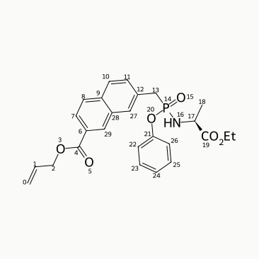 C=CCOC(=O)c1ccc2ccc(CP(=O)(N[C@@H](C)C(=O)OCC)Oc3ccccc3)cc2c1